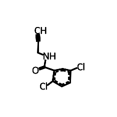 C#CCNC(=O)c1cc(Cl)ccc1Cl